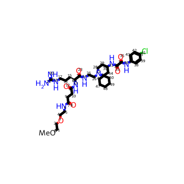 COCCOCCNC(=O)CCC(=O)N[C@@H](CCCNC(=N)N)C(=O)NCCN1CCC(NC(=O)C(=O)Nc2ccc(Cl)cc2)CC12CCCCC2